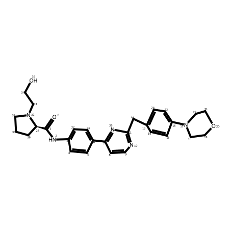 O=C(Nc1ccc(-c2ccnc(Cc3ccc(N4CCOCC4)cc3)n2)cc1)[C@H]1CCCN1CCO